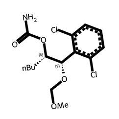 CCCC[C@H](OC(N)=O)[C@@H](OCOC)c1c(Cl)cccc1Cl